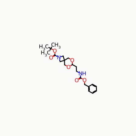 CC(C)(C)OC(=O)N1CC2(COC(CCNC(=O)OCc3ccccc3)OC2)C1